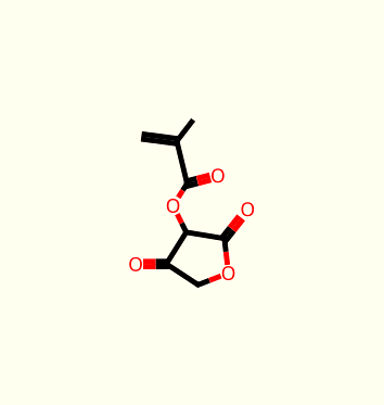 C=C(C)C(=O)OC1C(=O)COC1=O